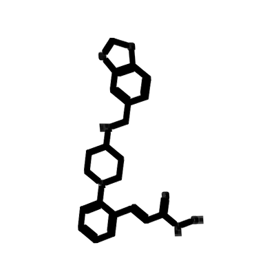 O=C(C=Cc1ccccc1N1CCC(NCc2ccc3c(c2)OCO3)CC1)NO